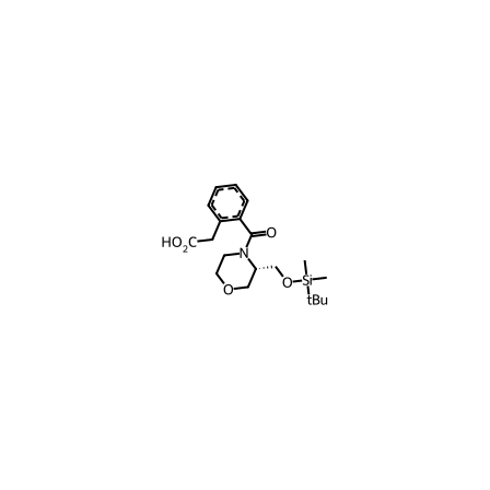 CC(C)(C)[Si](C)(C)OC[C@@H]1COCCN1C(=O)c1ccccc1CC(=O)O